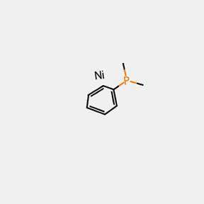 CP(C)c1ccccc1.[Ni]